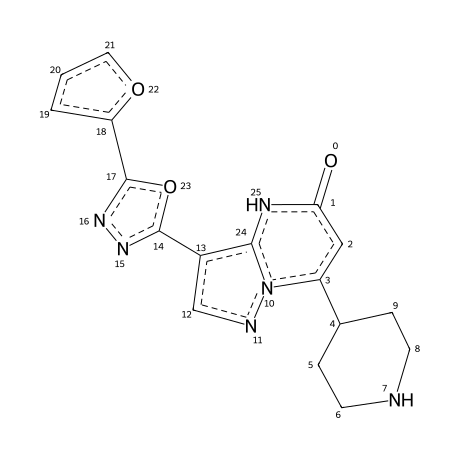 O=c1cc(C2CCNCC2)n2ncc(-c3nnc(-c4ccco4)o3)c2[nH]1